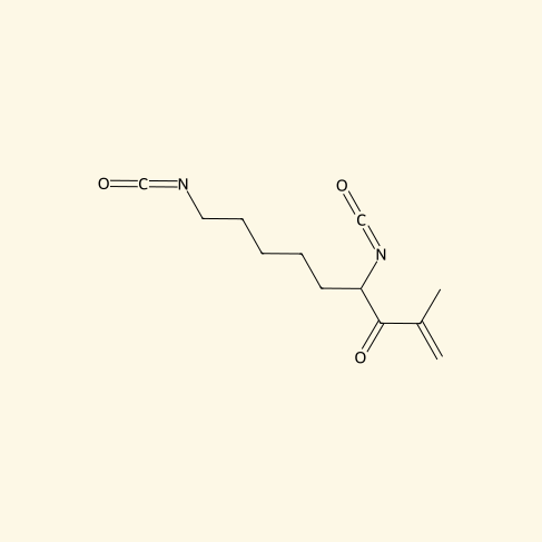 C=C(C)C(=O)C(CCCCCN=C=O)N=C=O